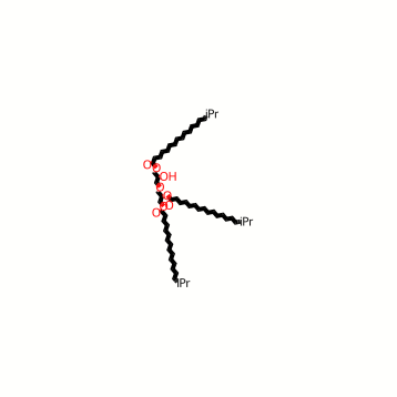 CC(C)CCCCCCCCCCCCCCC(=O)OCC(O)COCC(COC(=O)CCCCCCCCCCCCCCC(C)C)OC(=O)CCCCCCCCCCCCCCC(C)C